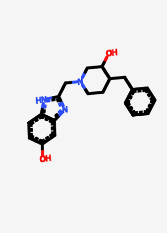 Oc1ccc2[nH]c(CN3CCC(Cc4ccccc4)C(O)C3)nc2c1